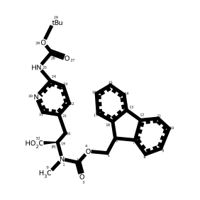 CN(C(=O)OCC1c2ccccc2-c2ccccc21)[C@H](Cc1ccc(NC(=O)OC(C)(C)C)nc1)C(=O)O